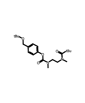 CN(CCN(C)C(=O)C(C)(C)C)C(=O)Oc1ccc(COC(C)(C)C)cc1